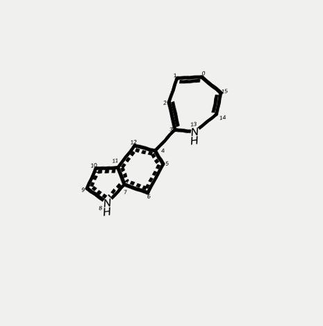 C1=CC=C(c2ccc3[nH]ccc3c2)NC=C1